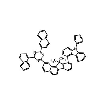 CC1(C)c2c(cccc2-c2cccc3c2c2ccccc2n3-c2ccccc2)-c2ccc3ccc(-c4nc(-c5ccc6ccccc6c5)nc(-c5cccc6ccccc56)n4)cc3c21